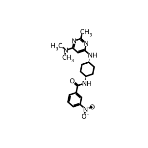 Cc1nc(N[C@H]2CC[C@@H](NC(=O)c3cccc([N+](=O)[O-])c3)CC2)cc(N(C)C)n1